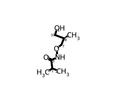 CC(C)C(=O)NOC[C@H](C)CO